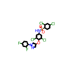 O=S(=O)(Nc1cc(Cl)c(Oc2cnn(-c3ccc(F)cc3F)c2)c(Cl)c1)c1ccc(Cl)cc1Cl